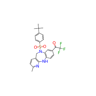 Cc1ccc2c(n1)Nc1ccc(C(=O)C(F)(F)F)cc1N(S(=O)(=O)c1ccc(C(C)(C)C)cc1)C2